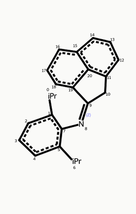 CC(C)c1cccc(C(C)C)c1/N=C1/Cc2cccc3cccc1c23